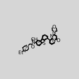 CCN1CCN(CC(=O)N(C)c2ccc3sc4c(-c5cccn6c(=O)cc(N7CCOCC7)nc56)cccc4c3c2)CC1